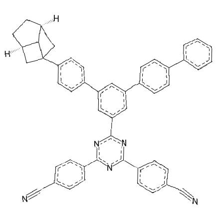 N#Cc1ccc(-c2nc(-c3ccc(C#N)cc3)nc(-c3cc(-c4ccc(-c5ccccc5)cc4)cc(-c4ccc(C56C[C@H]7CC[C@@H](C5)C76)cc4)c3)n2)cc1